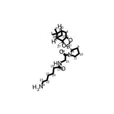 CC1(C)[C@@H]2CC3OB([C@@H]4CCCN4C(=O)CNC(=O)CCCCCN)O[C@@]3(C)[C@H]1C2